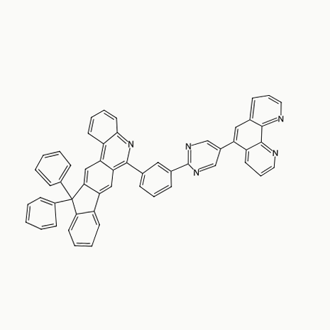 c1ccc(C2(c3ccccc3)c3ccccc3-c3cc4c(-c5cccc(-c6ncc(-c7cc8cccnc8c8ncccc78)cn6)c5)nc5ccccc5c4cc32)cc1